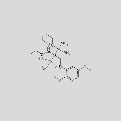 CCO[SiH](OCC)[Si](CCc1cc(OC)cc(C)c1OC)([Si]([SiH3])([SiH3])[SiH3])[Si]([SiH3])([SiH3])OCC